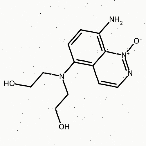 Nc1ccc(N(CCO)CCO)c2ccn[n+]([O-])c12